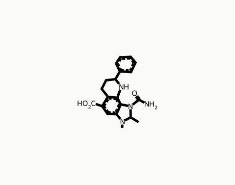 CC1N(C)c2cc(C(=O)O)c3c(c2N1C(N)=O)NC(c1ccccc1)CC3